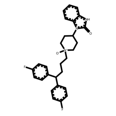 O=c1[nH]c2ccccc2n1C1CC[N+]([O-])(CCCC(c2ccc(F)cc2)c2ccc(F)cc2)CC1